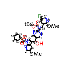 COc1cnc2c(c1)c(C(O)c1cnc(N(Cc3cc(F)cnc3OC)C(=O)OC(C)(C)C)nc1)cn2S(=O)(=O)c1ccccc1